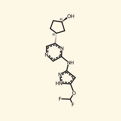 O[C@@H]1CC[C@@H](c2cncc(Nc3cc(OC(F)F)[nH]n3)n2)C1